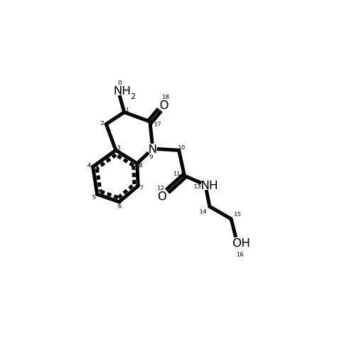 NC1Cc2ccccc2N(CC(=O)NCCO)C1=O